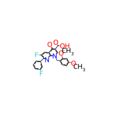 COc1ccc(Cn2cc(C(=O)O)c(=O)c3cc(F)c(-c4cccc(F)c4)nc32)c(OC)c1